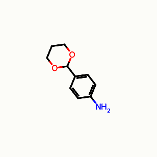 Nc1ccc(C2OCCCO2)cc1